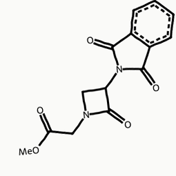 COC(=O)CN1CC(N2C(=O)c3ccccc3C2=O)C1=O